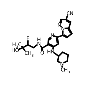 CN1CCCC(Nc2cc(-c3ccc4cc(C#N)cnn34)ncc2C(=O)NCC(F)C(C)(C)O)C1